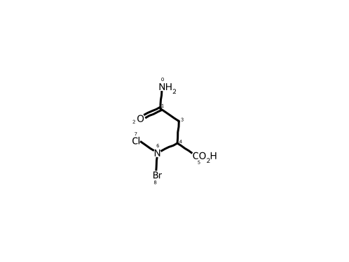 NC(=O)CC(C(=O)O)N(Cl)Br